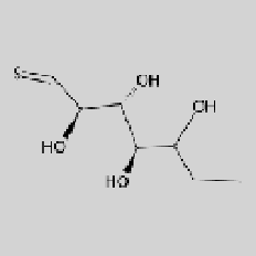 CCC(O)[C@@H](O)[C@@H](O)[C@@H](O)C=S